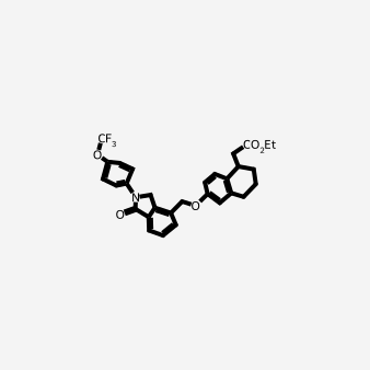 CCOC(=O)CC1CCCc2cc(OCc3cccc4c3CN(c3ccc(OC(F)(F)F)cc3)C4=O)ccc21